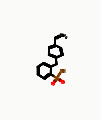 C=Cc1ccc(Cc2ccccc2S(=O)(=O)S)cc1